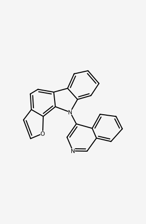 c1ccc2c(-n3c4ccccc4c4ccc5ccoc5c43)cncc2c1